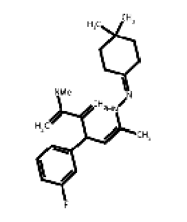 C=C(NC)C(=C)C(/C=C(/C)NN=C1CCC(C)(C)CC1)c1cccc(F)c1